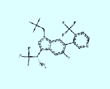 CC(C)(C)Cn1cc([C@H](N)C(F)(F)F)c2cc(F)c(-c3cnccc3C(F)(F)F)cc21